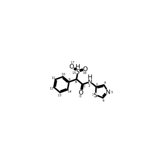 O=C(Nc1cncs1)C(c1ccccc1)[SH](=O)=O